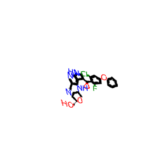 N#Cc1cnc2[nH]cc(C(=O)c3c(F)cc(Oc4ccccc4)cc3Cl)c2c1N[C@@H]1CC[C@@H](CO)OC1